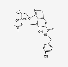 CN1c2c(ccnc2OCC2(S(=O)(=O)N=S(C)C)CC2)C=C(C(=O)NCc2ccc(C#N)cc2)C1O